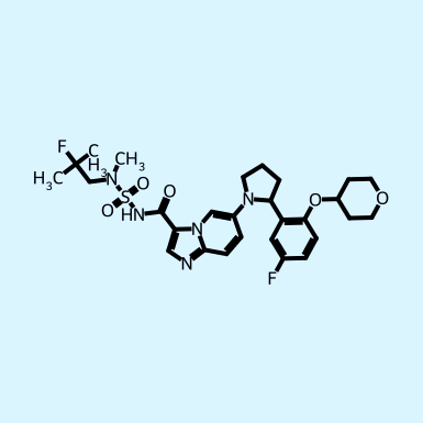 CN(CC(C)(C)F)S(=O)(=O)NC(=O)c1cnc2ccc(N3CCCC3c3cc(F)ccc3OC3CCOCC3)cn12